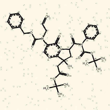 C=CCN(C(=O)OCc1ccccc1)c1cnc2n(c1=O)C(C(=O)N(C(=O)OC(C)(C)C)c1ccccc1)CC2(C)CC(=O)OC(C)(C)C